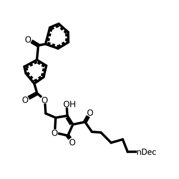 CCCCCCCCCCCCCCCC(=O)C1=C(O)C(COC(=O)c2ccc(C(=O)c3ccccc3)cc2)OC1=O